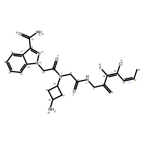 C=C(CNC(=O)CN(C(=O)Cn1nc(C(N)=O)c2ccccc21)C1CC(N)C1)/C(F)=C(Cl)\C=C/C